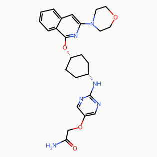 NC(=O)COc1cnc(N[C@H]2CC[C@@H](Oc3nc(N4CCOCC4)cc4ccccc34)CC2)nc1